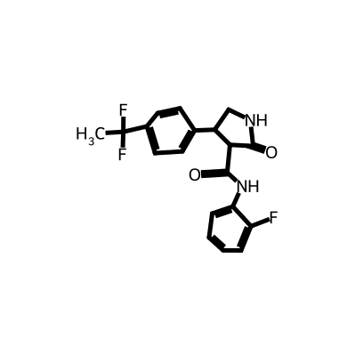 CC(F)(F)c1ccc(C2CNC(=O)C2C(=O)Nc2ccccc2F)cc1